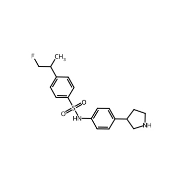 CC(CF)c1ccc(S(=O)(=O)Nc2ccc(C3CCNC3)cc2)cc1